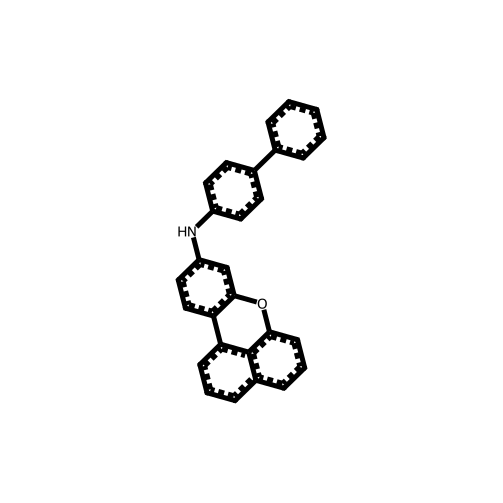 c1ccc(-c2ccc(Nc3ccc4c(c3)Oc3cccc5cccc-4c35)cc2)cc1